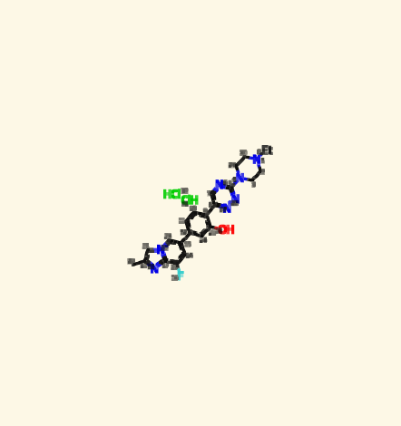 CCN1CCN(c2ncc(-c3ccc(-c4cc(F)c5nc(C)cn5c4)cc3O)nn2)CC1.Cl.Cl